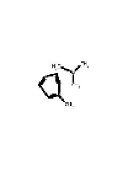 CN(C)C.Cc1cc[c]cc1